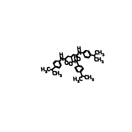 CC(C)c1ccc(NC(=O)CC(CC(=O)Nc2ccc(C(C)C)cc2)C(=O)Nc2ccc(C(C)C)cc2)cc1